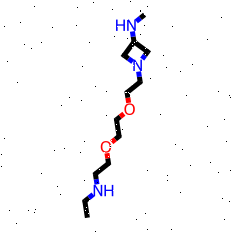 CCNCCOCCOCCN1CC(NC)C1